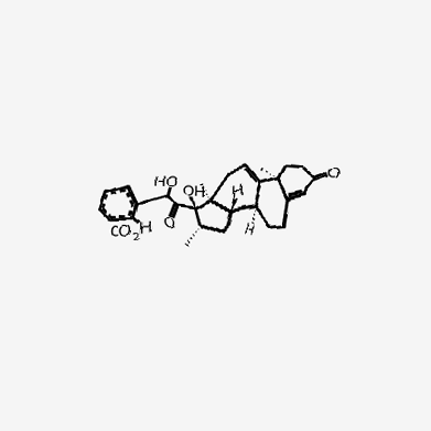 C[C@H]1C[C@H]2[C@@H]3CCC4=CC(=O)CC[C@]4(C)C3=CC[C@]2(C)[C@@]1(O)C(=O)C(O)c1ccccc1C(=O)O